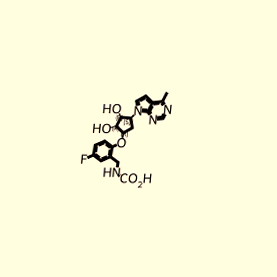 Cc1ncnc2c1ccn2[C@H]1C[C@@H](Oc2ccc(F)cc2CNC(=O)O)[C@H](O)[C@@H]1O